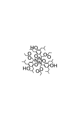 CCC(=O)OCC(c1cc(CC(C)C)c(O)c(CC(C)C)c1)n1c(=O)n(C(COC(=O)CC)c2cc(CC(C)C)c(O)c(CC(C)C)c2)c(=O)n(C(COC(=O)CC)c2cc(CC(C)C)c(O)c(CC(C)C)c2)c1=O